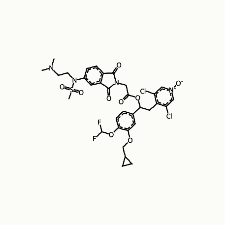 CN(C)CCN(c1ccc2c(c1)C(=O)N(CC(=O)OC(Cc1c(Cl)c[n+]([O-])cc1Cl)c1ccc(OC(F)F)c(OCC3CC3)c1)C2=O)S(C)(=O)=O